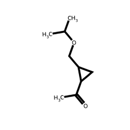 CC(=O)C1CC1COC(C)C